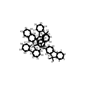 CC1(C)c2ccccc2-c2ccc(N(c3ccc4c(c3)C(C)(C)c3ccccc3-4)c3cccc4c3[Si](c3ccc5ccccc5c3)(c3ccc5ccccc5c3)c3ccccc3-4)cc21